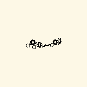 Clc1cccc(N2CCN(CCCCOc3ccc4nccn4c3)CC2)c1Cl